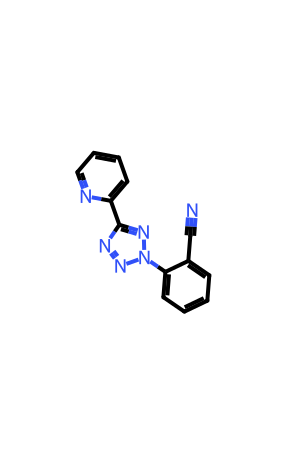 N#Cc1ccccc1-n1nnc(-c2ccccn2)n1